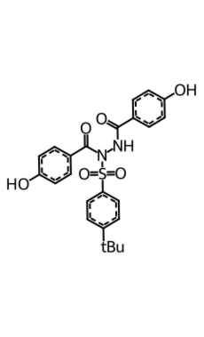 CC(C)(C)c1ccc(S(=O)(=O)N(NC(=O)c2ccc(O)cc2)C(=O)c2ccc(O)cc2)cc1